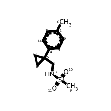 Cc1ccc(C2(CNS(C)(=O)=O)CC2)cc1